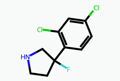 FC1(c2ccc(Cl)cc2Cl)CCNC1